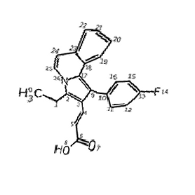 CCc1c(C=CC(=O)O)c(-c2ccc(F)cc2)c2c3ccccc3ccn12